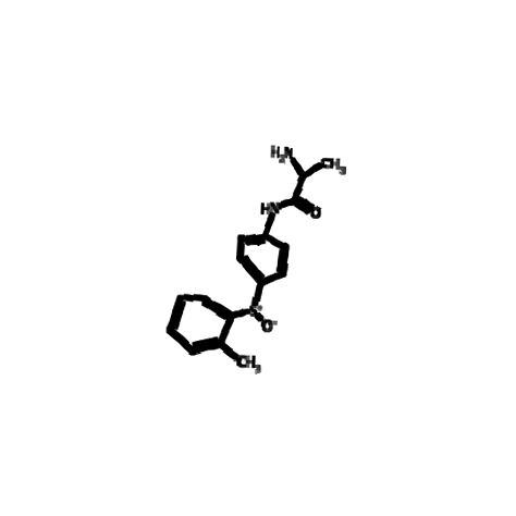 Cc1ccccc1[S+]([O-])c1ccc(NC(=O)C(C)N)cc1